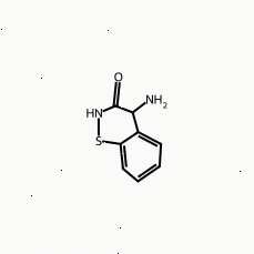 NC1C(=O)NSc2ccccc21